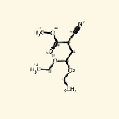 CCOC(CC(C#N)C(=O)OC)OCC